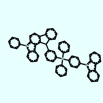 c1ccc(-n2c3ccccc3c3c4c(ccc32)-c2ccccc2C4c2cccc([Si](c3ccccc3)(c3ccccc3)c3ccc(-n4c5ccccc5c5ccccc54)cc3)c2)cc1